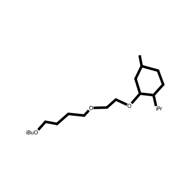 CC(C)COCCCCOCCOC1CC(C)CCC1C(C)C